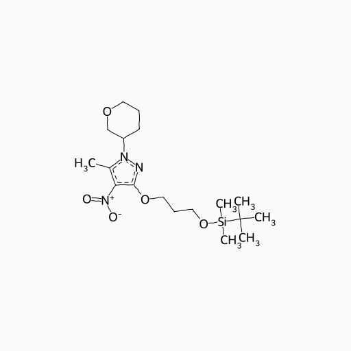 Cc1c([N+](=O)[O-])c(OCCCO[Si](C)(C)C(C)(C)C)nn1C1CCCOC1